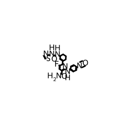 NC(=O)c1cc(F)c(C2=C[C@H](NC(=O)Nc3nccs3)CCC2)nc1Nc1ccc(N2CCOCC2)cc1